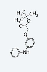 CC(C)(C)OC(=O)COc1cccc(Nc2ccccc2)c1